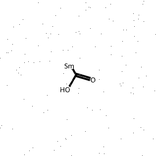 O=[C](O)[Sm]